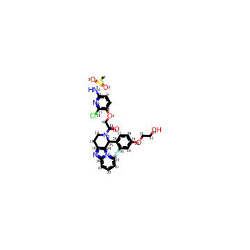 CS(=O)(=O)Nc1ccc(OCC(=O)N2CCc3nc4ccccn4c3C2c2ccc(OCCO)cc2F)c(Cl)n1